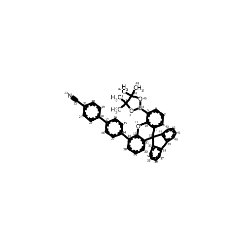 CC1(C)OB(c2cccc3c2Oc2c(-c4ccc(-c5ccc(C#N)cc5)cc4)cccc2C32c3ccccc3-c3ccccc32)OC1(C)C